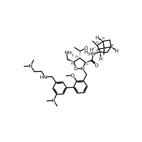 COc1c(CN2O[C@@H](CN)[C@H](C(C)O)[C@H]2C(=O)N[C@H]2C[C@H]3C[C@@H]([C@@H]2C)C3(C)C)cccc1-c1cc(CNCCN(C)C)cc(N(C)C)c1